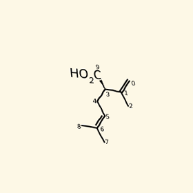 C=C(C)[C@@H](CC=C(C)C)C(=O)O